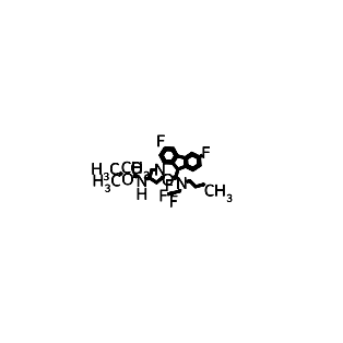 CCCCN(CC(F)(F)F)C(=O)C1c2ccc(F)cc2-c2cc(F)cc(N3CCC(NC(=O)OC(C)(C)C)C3)c21